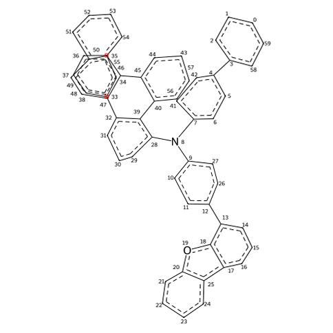 c1ccc(-c2ccc(N(c3ccc(-c4cccc5c4oc4ccccc45)cc3)c3cccc(-c4ccccc4)c3-c3ccccc3-c3cccc4ccccc34)cc2)cc1